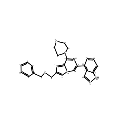 c1ccc(COCc2nc3c(N4CCOCC4)nc(-c4cccc5[nH]ncc45)cn3n2)cc1